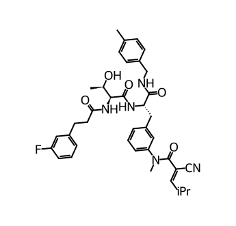 Cc1ccc(CNC(=O)[C@H](Cc2cccc(N(C)C(=O)C(C#N)=CC(C)C)c2)NC(=O)[C@@H](NC(=O)CCc2cccc(F)c2)[C@@H](C)O)cc1